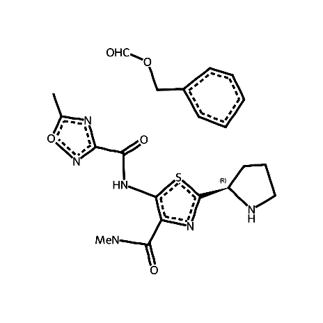 CNC(=O)c1nc([C@H]2CCCN2)sc1NC(=O)c1noc(C)n1.O=COCc1ccccc1